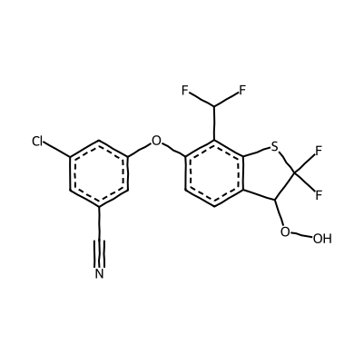 N#Cc1cc(Cl)cc(Oc2ccc3c(c2C(F)F)SC(F)(F)C3OO)c1